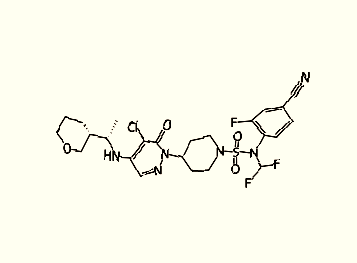 C[C@H](Nc1cnn(C2CCN(S(=O)(=O)N(c3ccc(C#N)cc3F)C(F)F)CC2)c(=O)c1Cl)[C@H]1CCCOC1